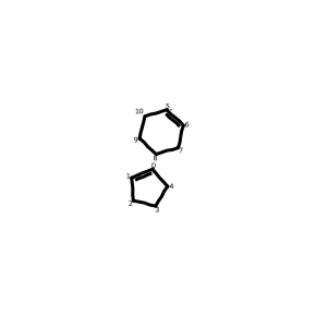 [C]1=CCCC1.[C]1=CCCCC1